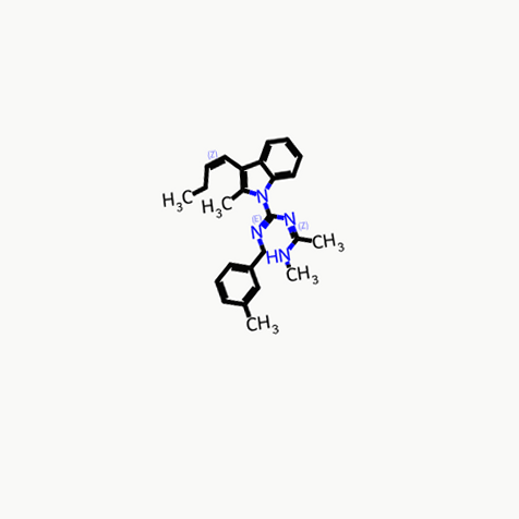 CC/C=C\c1c(C)n(C(/N=C(/C)NC)=N/Cc2cccc(C)c2)c2ccccc12